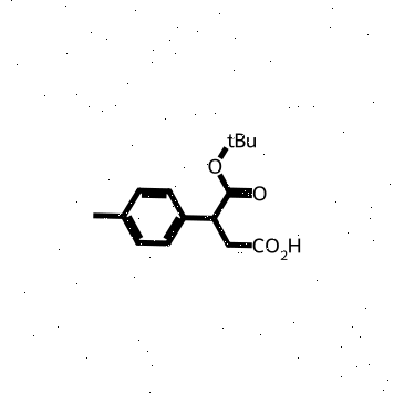 Cc1ccc(C(CC(=O)O)C(=O)OC(C)(C)C)cc1